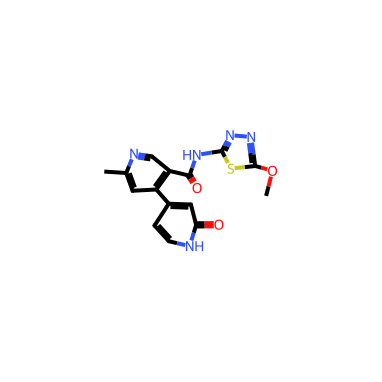 COc1nnc(NC(=O)c2cnc(C)cc2-c2cc[nH]c(=O)c2)s1